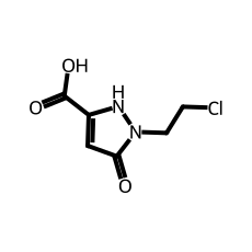 O=C(O)c1cc(=O)n(CCCl)[nH]1